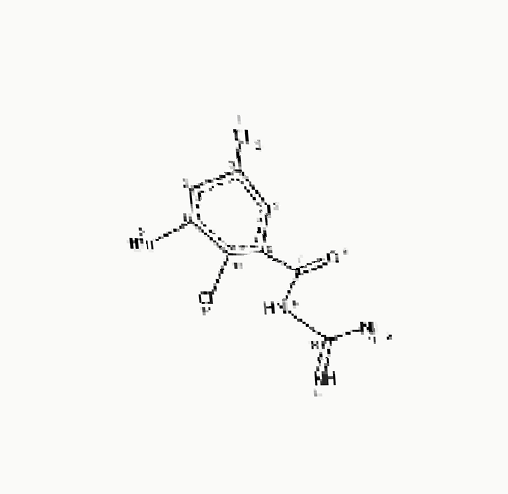 CC(C)(C)c1cc(C(F)(F)F)cc(C(=O)NC(=N)N)c1Cl